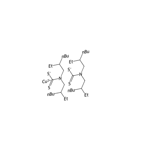 CCCCC(CC)CN(CC(CC)CCCC)C(=S)[S-].CCCCC(CC)CN(CC(CC)CCCC)C(=S)[S-].[Cu+2]